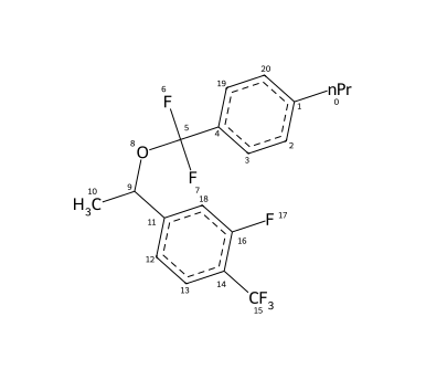 CCCc1ccc(C(F)(F)OC(C)c2ccc(C(F)(F)F)c(F)c2)cc1